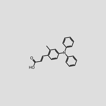 Cc1cc(N(c2ccccc2)c2ccccc2)ccc1C=CC(=O)O